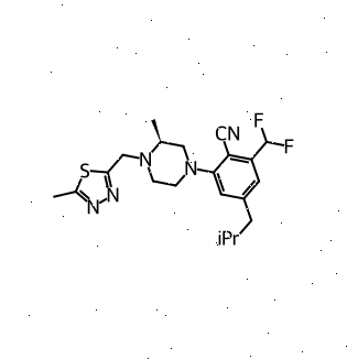 Cc1nnc(CN2CCN(c3cc(CC(C)C)cc(C(F)F)c3C#N)C[C@@H]2C)s1